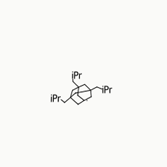 CC(C)CC12C[C]3CC(CC(C)C)(C1)CC(CC(C)C)(C3)C2